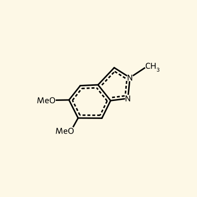 COc1cc2cn(C)nc2cc1OC